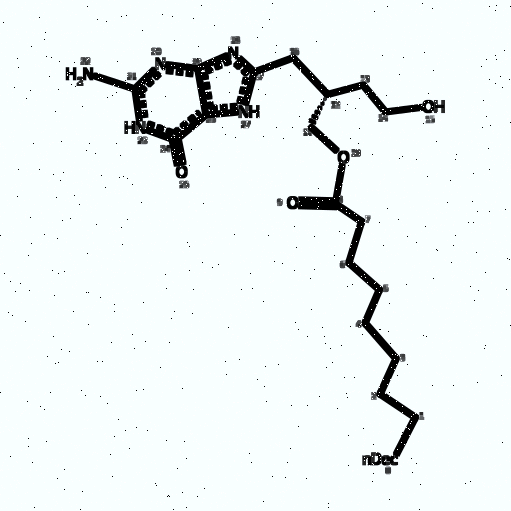 CCCCCCCCCCCCCCCCCC(=O)OC[C@@H](CCO)Cc1nc2nc(N)[nH]c(=O)c2[nH]1